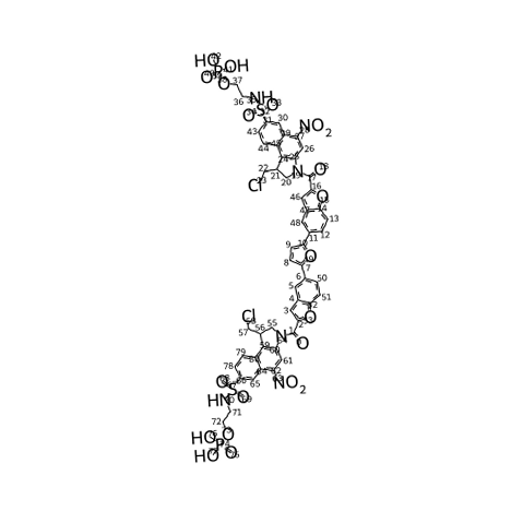 O=C(c1cc2cc(-c3ccc(-c4ccc5oc(C(=O)N6CC(CCl)c7c6cc([N+](=O)[O-])c6cc(S(=O)(=O)NCCOP(=O)(O)O)ccc76)cc5c4)o3)ccc2o1)N1CC(CCl)c2c1cc([N+](=O)[O-])c1cc(S(=O)(=O)NCCOP(=O)(O)O)ccc21